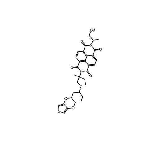 CCC(CC1COc2cscc2O1)OCC(C)(CC)N1C(=O)c2ccc3c4c(ccc(c24)C1=O)C(=O)N(C(C)CO)C3=O